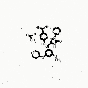 CC(=O)O.COc1cc(OC2CCOCC2)cc([C@H](Nc2ccc(C(=N)N)cc2)c2nn(-c3ncccn3)c(=O)[nH]2)c1